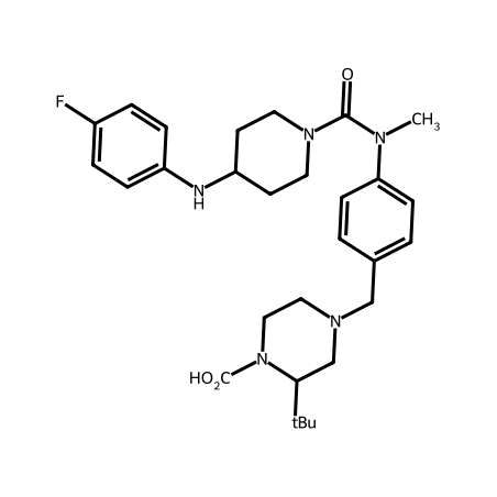 CN(C(=O)N1CCC(Nc2ccc(F)cc2)CC1)c1ccc(CN2CCN(C(=O)O)C(C(C)(C)C)C2)cc1